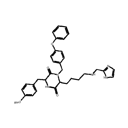 COc1ccc(CC2NC(=O)C(CCCCNCc3ncc[nH]3)N(Cc3ccc(Oc4ccccc4)cc3)C2=O)cc1